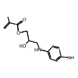 C=C(C)C(=O)OCC(O)CNc1ccc([NH])cc1